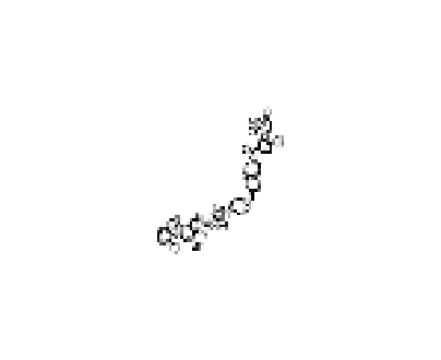 O=C1CCN(c2cc(C(=O)N3CCC4(CCC(CN5CCC(n6cc(Nc7ncc8c(=O)n(-c9c(Cl)cccc9Cl)cc(Br)c8n7)cn6)CC5)CC4)CC3)ccc2Cl)C(=O)N1